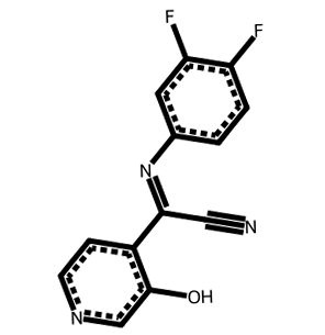 N#C/C(=N\c1ccc(F)c(F)c1)c1ccncc1O